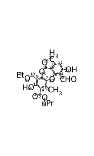 CCCOC(=O)c1c(C)c2c(c(COCC)c1O)OC(=O)c1c(C)cc(O)c(C=O)c1O2